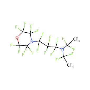 FC(F)(F)C(F)(F)N(C(F)(F)C(F)(F)F)C(F)(F)C(F)(F)C(F)(F)N1C(F)(F)C(F)(F)OC(F)(F)C1(F)F